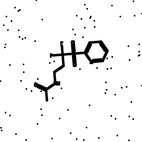 CC(=O)NCCC(F)(F)S(=O)(=O)c1ccccn1